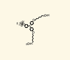 CCCCCCCCCCCCCCCCOc1ccc([S+](c2ccccc2)c2ccc(OCCCCCCCCCCCCCCCC)cc2)cc1.O=S(=O)([O-])C(F)(F)F